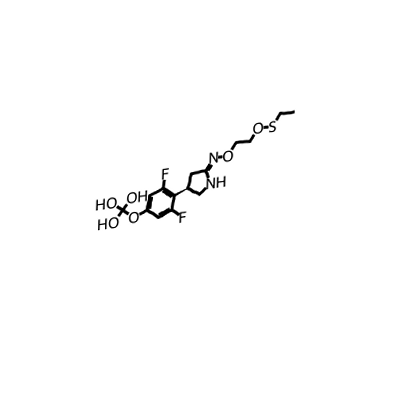 CCSOCCO/N=C1/C[C@H](c2c(F)cc(OC(O)(O)O)cc2F)CN1